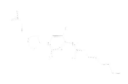 CCCCCCOC(=O)NC1=NC(O)N([C@@H]2CS[C@H](COC(C)=O)O2)C=C1F